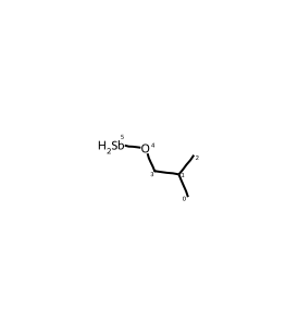 CC(C)C[O][SbH2]